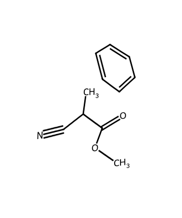 COC(=O)C(C)C#N.c1ccccc1